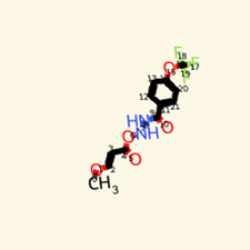 COC=CC(=O)ONNC(=O)c1ccc(OC(F)(F)F)cc1